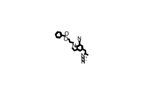 CC(Cc1cc(C#N)c2c(c1)CCN2CCCOC(=O)c1ccccc1)N=[N+]=[N-]